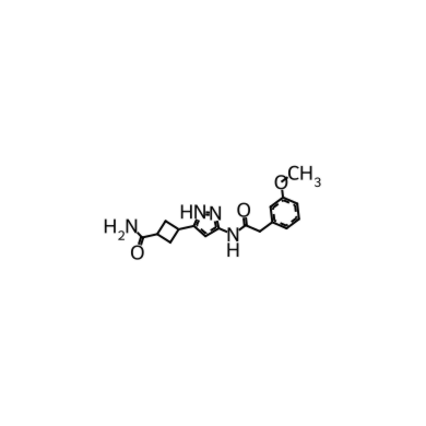 COc1cccc(CC(=O)Nc2cc(C3CC(C(N)=O)C3)[nH]n2)c1